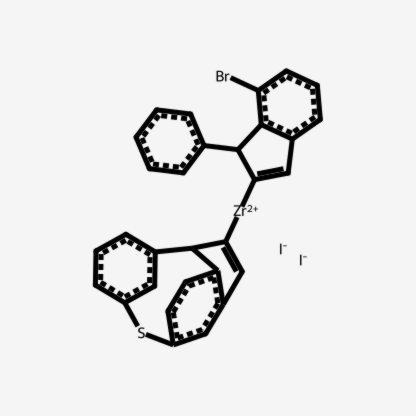 Brc1cccc2c1C(c1ccccc1)[C]([Zr+2][C]1=Cc3cc4ccc3C1c1cccc(c1)S4)=C2.[I-].[I-]